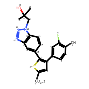 CCOC(=O)c1cc(-c2ccc(C#N)c(F)c2)c(-c2ccc3c(c2)nnn3CC(C)(C)O)s1